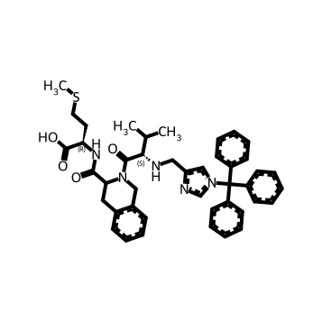 CSCC[C@@H](NC(=O)C1Cc2ccccc2CN1C(=O)[C@@H](NCc1cn(C(c2ccccc2)(c2ccccc2)c2ccccc2)cn1)C(C)C)C(=O)O